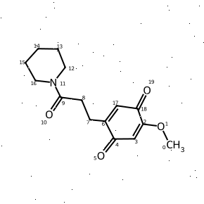 COC1=CC(=O)C(CCC(=O)N2CCCCC2)=CC1=O